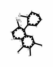 Cc1cc2c(-c3ccccc3Cl)c([N+](=O)[O-])cnc2c(C)c1C